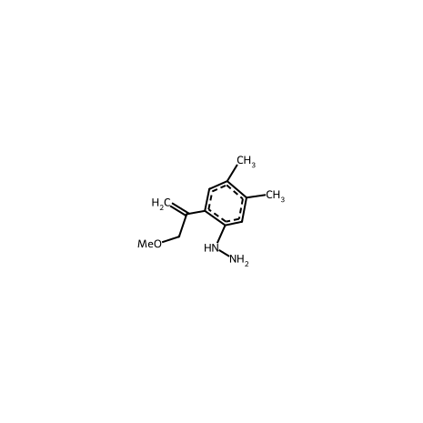 C=C(COC)c1cc(C)c(C)cc1NN